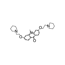 Cn1c2cc(OCCN3CCCCC3)ccc2c(=O)c2ccc(OCCN3CCCCC3)cc21